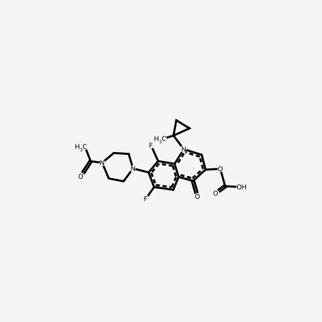 CC(=O)N1CCN(c2c(F)cc3c(=O)c(OC(=O)O)cn(C4(C)CC4)c3c2F)CC1